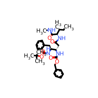 CC[C@H](C)[C@H](NC(=O)C[C@H](NC(=O)OCc1ccccc1)[C@H](Cc1ccccc1)NC(=O)OC(C)(C)C)C(=O)NC